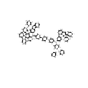 c1ccc(N(c2ccccc2)c2ccc(N(c3ccc(-c4ccc(-c5ccc(N(c6ccc7c(c6)c6ccccc6n7-c6ccccc6)c6cccc7c6-c6oc8ccccc8c6C76c7ccccc7-c7ccccc76)cc5)cc4)cc3)c3ccc4c(c3)-c3ccccc3C43c4ccccc4-c4oc5ccccc5c43)cc2)cc1